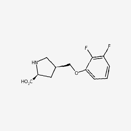 O=C(O)[C@@H]1C[C@H](COc2cccc(F)c2F)CN1